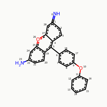 N=c1ccc2c(-c3ccc(Oc4ccccc4)cc3)c3ccc(N)cc3oc-2c1